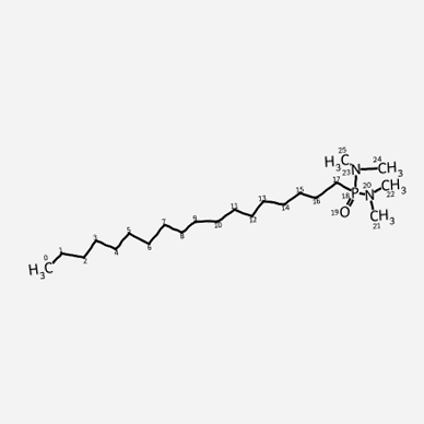 CCCCCCCCCCCCCCCCCCP(=O)(N(C)C)N(C)C